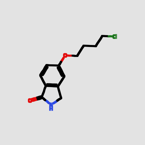 O=C1NCc2cc(OCCCCCl)ccc21